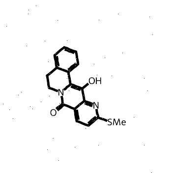 CSc1ccc2c(=O)n3c(c(O)c2n1)-c1ccccc1CC3